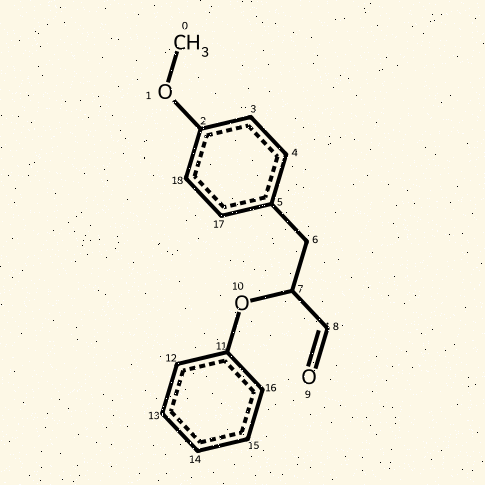 COc1ccc(CC([C]=O)Oc2ccccc2)cc1